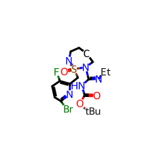 CC/N=C(/NC(=O)OC(C)(C)C)N1CCCCN=S1(=O)Cc1nc(Br)ccc1F